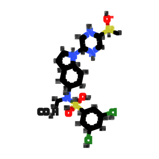 C[S+]([O-])c1cnc(-n2ccc3cc(N(CC(=O)O)S(=O)(=O)c4cc(Cl)cc(Cl)c4)ccc32)cn1